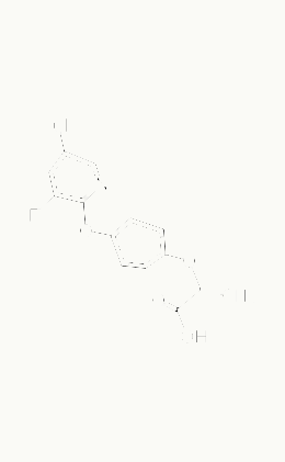 C[C@@H](Oc1ccc(Oc2ncc(Cl)cc2F)cc1)C(=O)O